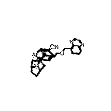 N#Cc1ccc(N2C3CCC2CN(C(=O)CCOCc2cccc4nccnc24)C3)nc1